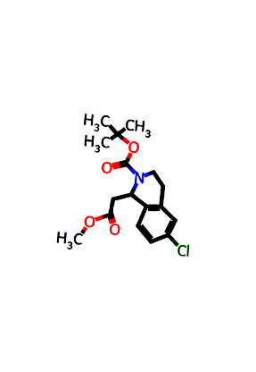 COC(=O)CC1c2ccc(Cl)cc2CCN1C(=O)OC(C)(C)C